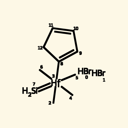 Br.Br.[CH3][Hf]([CH3])([CH3])([CH3])(=[SiH2])[C]1=CC=CC1